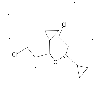 ClCCC(OC(CCCl)C1CC1)C1CC1